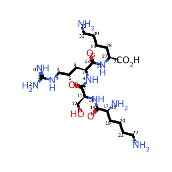 N=C(N)NCCC[C@H](NC(=O)[C@H](CO)NC(=O)[C@@H](N)CCCCN)C(=O)N[C@@H](CCCCN)C(=O)O